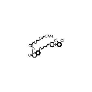 COCCOCCOCC1OC1OCN1C(=O)CCc2ccc(OCCCCN3CCN(c4cccc(Cl)c4Cl)CC3)cc21